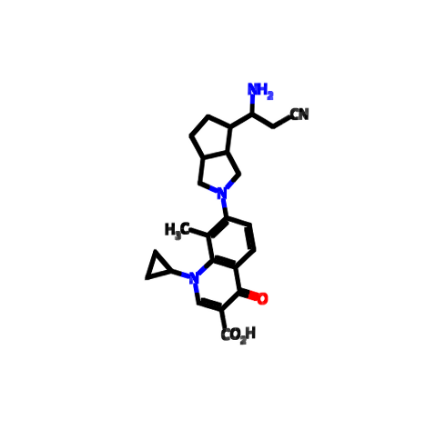 Cc1c(N2CC3CCC(C(N)CC#N)C3C2)ccc2c(=O)c(C(=O)O)cn(C3CC3)c12